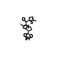 Cc1ccc(C(=O)c2c(C)cc3n2CCC3C(=O)OC(C)C)s1